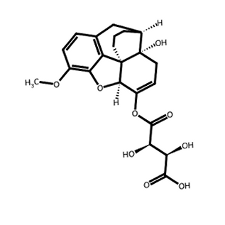 COc1ccc2c3c1O[C@@H]1C(OC(=O)[C@H](O)[C@@H](O)C(=O)O)=CC[C@]4(O)[C@@H](CCC[C@@]314)C2